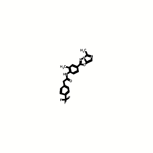 Cc1cc(-c2nn3c(C)ncc3o2)ccc1NC(=O)Cc1ccc(C(F)(F)F)cc1